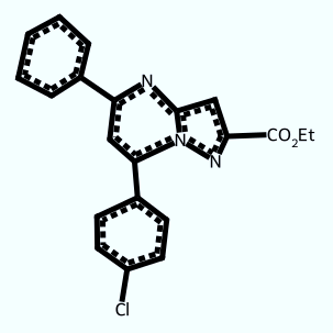 CCOC(=O)c1cc2nc(-c3ccccc3)cc(-c3ccc(Cl)cc3)n2n1